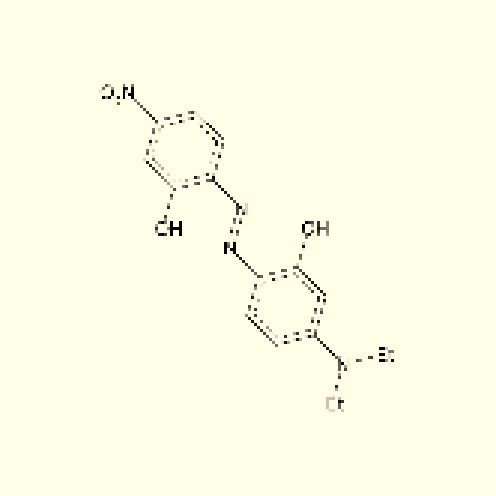 CCN(CC)c1ccc(N=Nc2ccc([N+](=O)[O-])cc2O)c(O)c1